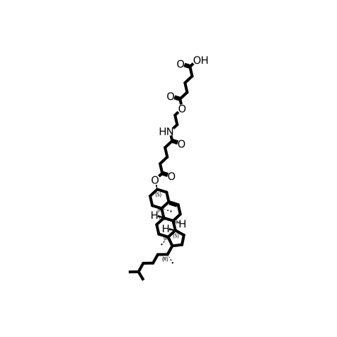 CC(C)CCC[C@@H](C)C1CC[C@H]2[C@@H]3CC=C4C[C@@H](OC(=O)CCCC(=O)NCCOC(=O)CCCC(=O)O)CC[C@]4(C)[C@H]3CC[C@]12C